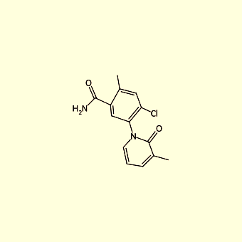 Cc1cc(Cl)c(-n2cccc(C)c2=O)cc1C(N)=O